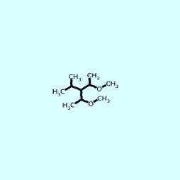 COC(C)C(C(C)C)C(C)OC